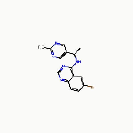 C[C@@H](Nc1ncnc2ccc(Br)cc12)c1cnc(C(F)(F)F)nc1